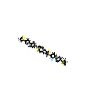 Fc1cc(-c2cc3cc4cc5sc(-c6ccc(-c7ccc(-c8cccs8)cc7)c(F)c6)cc5cc4cc3s2)ccc1-c1ccc(-c2cccs2)cc1